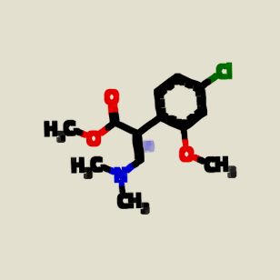 COC(=O)/C(=C\N(C)C)c1ccc(Cl)cc1OC